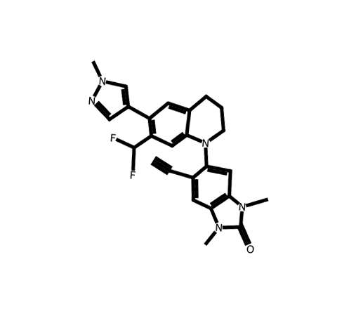 C#Cc1cc2c(cc1N1CCCc3cc(-c4cnn(C)c4)c(C(F)F)cc31)n(C)c(=O)n2C